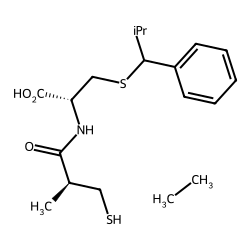 CC.CC(C)C(SC[C@H](NC(=O)[C@H](C)CS)C(=O)O)c1ccccc1